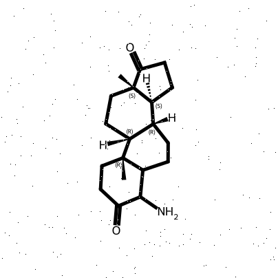 C[C@]12CCC(=O)C(N)C1CC[C@@H]1[C@H]2CC[C@]2(C)C(=O)CC[C@@H]12